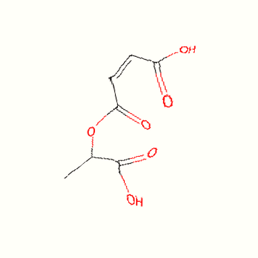 CC(OC(=O)/C=C\C(=O)O)C(=O)O